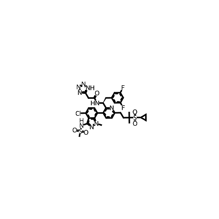 Cn1nc(NS(C)(=O)=O)c2c(Cl)ccc(-c3ccc(CCC(C)(C)S(=O)(=O)C4CC4)nc3[C@H](Cc3cc(F)cc(F)c3)NC(=O)Cc3nnn[nH]3)c21